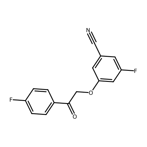 N#Cc1cc(F)cc(OCC(=O)c2ccc(F)cc2)c1